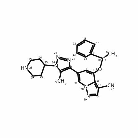 Cc1c(-c2cc(O[C@H](C)c3ccccc3)c3c(C#N)cnn3c2)nnn1C1CCNCC1